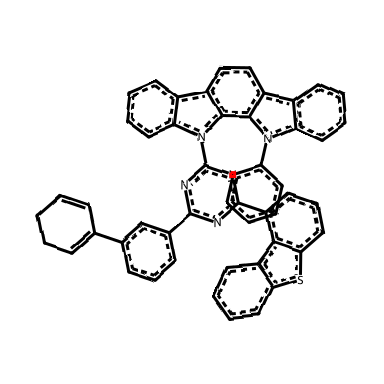 C1=CC(c2cccc(-c3nc(-c4cccc5sc6ccccc6c45)nc(-n4c5ccccc5c5ccc6c7ccccc7n(-c7ccccc7)c6c54)n3)c2)=CCC1